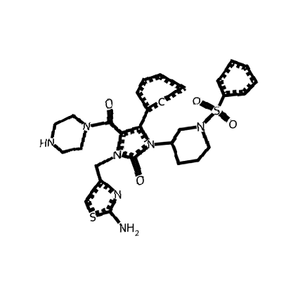 Nc1nc(Cn2c(C(=O)N3CCNCC3)c(-c3ccccc3)n(C3CCCN(S(=O)(=O)c4ccccc4)C3)c2=O)cs1